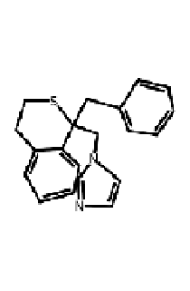 c1ccc(CC2(Cn3ccnc3)SCCc3ccccc32)cc1